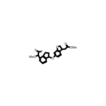 COC(=O)CC1COc2cc(OC3CCc4c3cccc4C(OC)C(F)F)ccc21